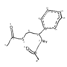 CC(=O)NC(CSC(C)=O)c1ccccc1